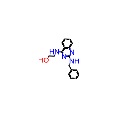 OCCNc1nc(NCc2ccccc2)nc2ccccc12